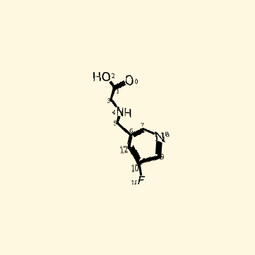 O=C(O)CNCc1cncc(F)c1